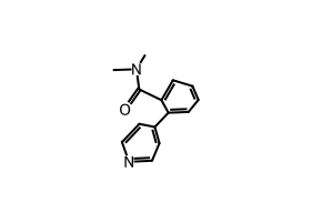 CN(C)C(=O)c1ccccc1-c1ccncc1